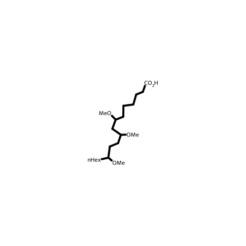 CCCCCCC(CCC(CC(CCCCCC(=O)O)OC)OC)OC